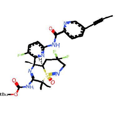 CC#Cc1ccc(C(=O)Nc2ccc(F)c([C@@]3(C)N=C(NC(=O)OC(C)(C)C)C(C)(C)[S@@]4(=O)=NCC(F)(F)C[C@H]34)n2)nc1